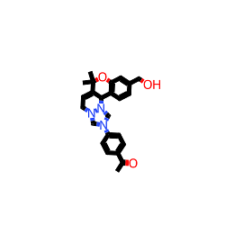 CC(=O)c1ccc(N2CN3CC=C4C(c5ccc(CO)cc5OC4(C)C)N3C2)cc1